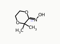 CC1(C)OCCO/C1=N\O